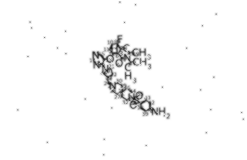 CC(C)N(C(=O)c1cc(F)ccc1Oc1cncnc1N1CC[C@@H](CN2CCC3(CC2)CCN(S(=O)(=O)c2ccc(N)cc2)CC3)C1)C(C)C